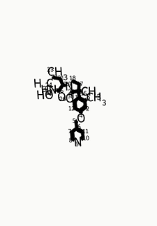 Cc1cc(OCc2ccncc2)ccc1C1(C)CCN(C(CC(C)C)C(=O)NO)C1=O